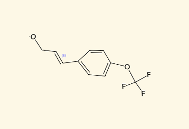 [O]C/C=C/c1ccc(OC(F)(F)F)cc1